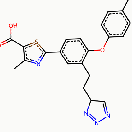 Cc1ccc(Oc2ccc(-c3nc(C)c(C(=O)O)s3)cc2CCC2C=NN=N2)cc1